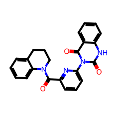 O=C(c1cccc(-n2c(=O)[nH]c3ccccc3c2=O)n1)N1CCCc2ccccc21